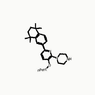 CCCCCOc1ccc(-c2ccc3c(c2)C(C)(C)CCC3(C)C)nc1N1CCNCC1